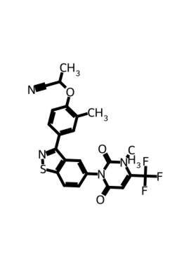 Cc1cc(-c2nsc3ccc(-n4c(=O)cc(C(F)(F)F)n(C)c4=O)cc23)ccc1OC(C)C#N